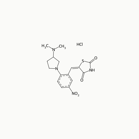 CN(C)C1CCN(c2ccc([N+](=O)[O-])cc2C=C2SC(=O)NC2=O)C1.Cl